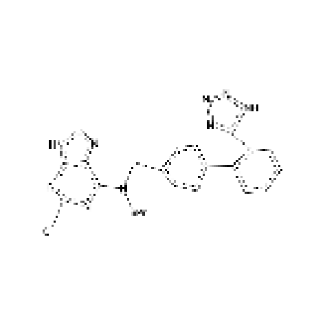 CCCN(Cc1ccc(-c2ccccc2-c2nnn[nH]2)cc1)c1nc(Cl)nc2[nH]cnc12